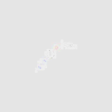 COC(C)COc1ccc(N2CCN(C)CC2)cc1